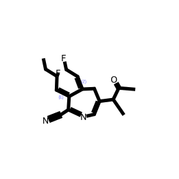 CCC(F)/C=C1/C(C#N)=NC=C(C(C)C(C)=O)C/C1=C/CF